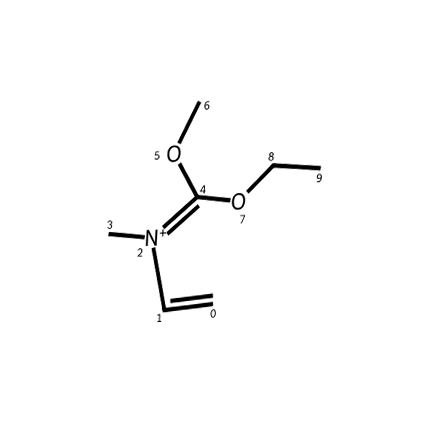 C=C[N+](C)=C(OC)OCC